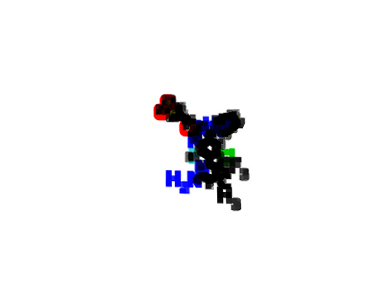 Cc1cc(N)nc(-c2c(Cl)cc3c(N4CC5CCC(C4)N5)nc(OCC4CS(=O)(=O)C4)nc3c2F)c1C(F)(F)F